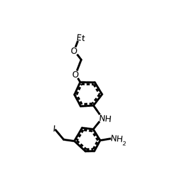 CCOCOc1ccc(Nc2cc(CI)ccc2N)cc1